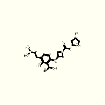 O=C(C[C@@H]1C[C@H](F)CN1)N1CC(Oc2ccc(CCB(O)O)c(O)c2C(O)O)C1